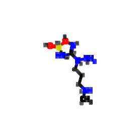 CNCCCN(N)C1=NOS(=O)N1